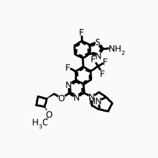 CO[C@@H]1CC[C@H]1COc1nc(N2CC3CCC(C2)N3)c2cc(C(F)(F)F)c(-c3ccc(F)c4sc(N)nc34)c(F)c2n1